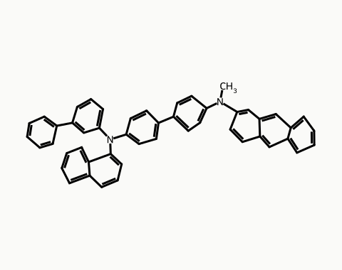 CN(c1ccc(-c2ccc(N(c3cccc(-c4ccccc4)c3)c3cccc4ccccc34)cc2)cc1)c1ccc2cc3ccccc3cc2c1